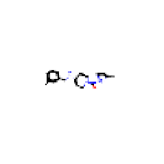 CC(=O)c1ccn(C(=O)N2CC[C@@H](N(C)Cc3cccc(C)c3)C[C@@H]2C)n1